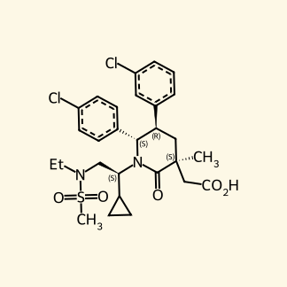 CCN(C[C@H](C1CC1)N1C(=O)[C@](C)(CC(=O)O)C[C@H](c2cccc(Cl)c2)[C@H]1c1ccc(Cl)cc1)S(C)(=O)=O